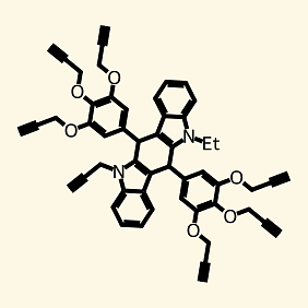 C#CCOc1cc(C2c3c(n(CC)c4ccccc34)C(c3cc(OCC#C)c(OCC#C)c(OCC#C)c3)c3c2n(CC#C)c2ccccc32)cc(OCC#C)c1OCC#C